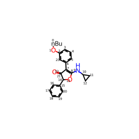 CCCCOc1cccc(C2=C(NC3CC3)OC(c3ccccc3)C2=O)c1